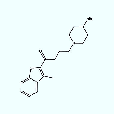 CCCCC1CCN(CCCC(=O)c2oc3ccccc3c2C)CC1